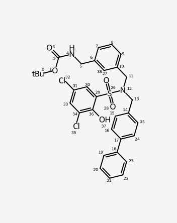 CC(C)(C)OC(=O)NCc1cccc(CN(Cc2ccc(-c3ccccc3)cc2)S(=O)(=O)c2cc(Cl)cc(Cl)c2O)c1